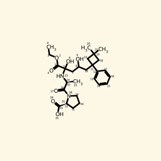 CCOC(=O)C(O)(CC(O)CC1(c2ccccc2)CC(C)(C)C1)N[C@@H](C)C(=O)N1CCC[C@H]1C(=O)O